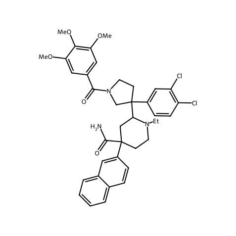 CCN1CCC(C(N)=O)(c2ccc3ccccc3c2)CC1C1(c2ccc(Cl)c(Cl)c2)CCN(C(=O)c2cc(OC)c(OC)c(OC)c2)C1